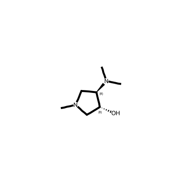 CN1C[C@@H](O)[C@H](N(C)C)C1